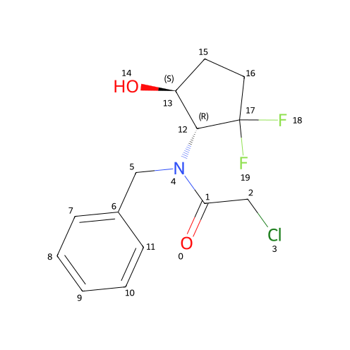 O=C(CCl)N(Cc1ccccc1)[C@@H]1[C@@H](O)CCC1(F)F